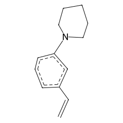 C=Cc1cccc(N2CCCCC2)c1